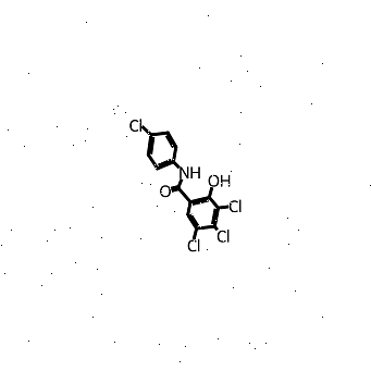 O=C(Nc1ccc(Cl)cc1)c1cc(Cl)c(Cl)c(Cl)c1O